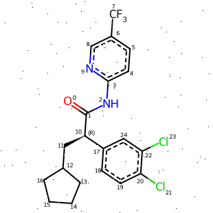 O=C(Nc1ccc(C(F)(F)F)cn1)[C@H](CC1CCCC1)c1ccc(Cl)c(Cl)c1